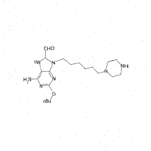 CCCCOc1nc(N)c2c(n1)N(CCCCCCN1CCNCC1)C(C=O)N2